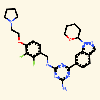 Nc1nc(NCc2ccc(OCCN3CCCC3)c(F)c2F)nc(-c2ccc3cnn(C4CCCCO4)c3c2)n1